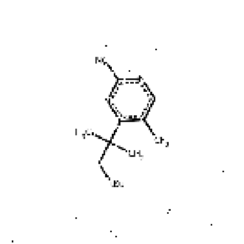 CC(C)(C)CC(C)(C)c1nc(C#N)ncc1C(F)(F)F